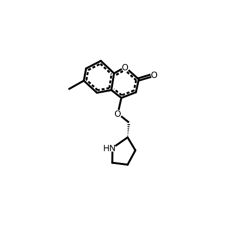 Cc1ccc2oc(=O)cc(OC[C@@H]3CCCN3)c2c1